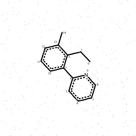 CCc1c(-c2ccccn2)[c]ccc1C